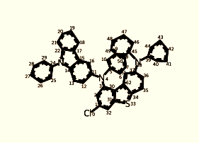 Clc1cc(N(c2ccccc2)c2ccc3c(c2)c2ccccc2n3-c2ccccc2)c2c(c1)sc1ccc(N(c3ccccc3)c3ccccc3)cc12